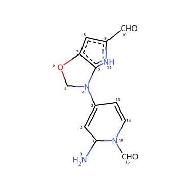 NC1C=C(N2COc3cc(C=O)[nH]c32)C=CN1C=O